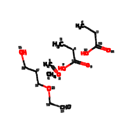 C.C=O.CCC(=O)O.CCC(=O)O.O=CCOCCCO